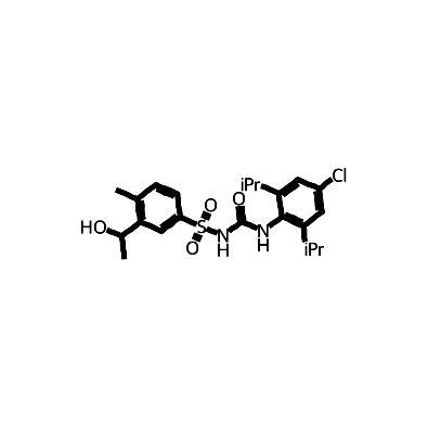 Cc1ccc(S(=O)(=O)NC(=O)Nc2c(C(C)C)cc(Cl)cc2C(C)C)cc1C(C)O